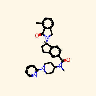 Cc1cccc2c1C(=O)N([C@@H]1CCc3cc(C(=O)N(C)C4CCN(c5ccccn5)CC4)ccc31)C2